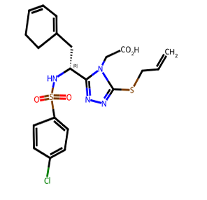 C=CCSc1nnc([C@@H](CC2=CC=CCC2)NS(=O)(=O)c2ccc(Cl)cc2)n1CC(=O)O